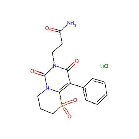 Cl.NC(=O)CCn1c(=O)c(-c2ccccc2)c2n(c1=O)CCCS2(=O)=O